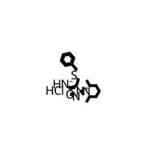 CC1CCCC(C)N1[n+]1noc([NH-])c1CSCc1ccccc1.Cl